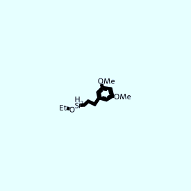 CCO[SiH2]CCCc1cc(OC)cc(OC)c1